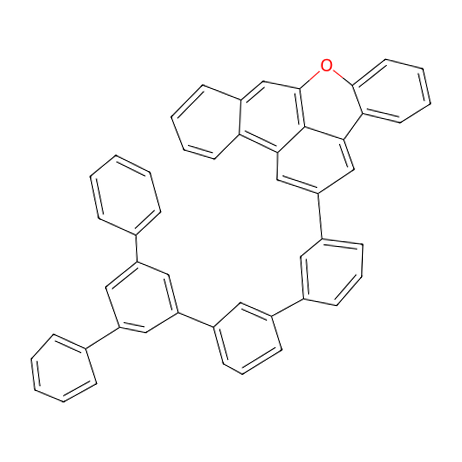 c1ccc(-c2cc(-c3ccccc3)cc(-c3cccc(-c4cccc(-c5cc6c7c(cc8ccccc8c7c5)Oc5ccccc5-6)c4)c3)c2)cc1